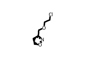 ClCCOCc1ccon1